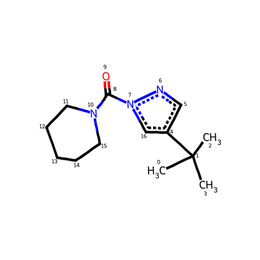 CC(C)(C)c1cnn(C(=O)N2CCCCC2)c1